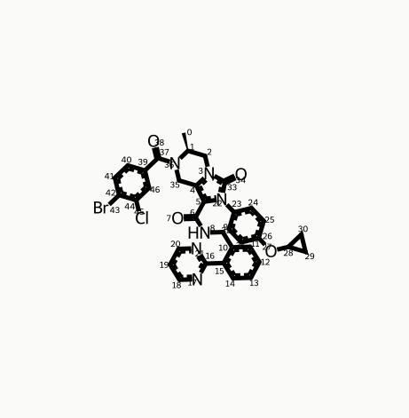 C[C@H]1Cn2c(c(C(=O)NCc3ccccc3-c3ncccn3)n(-c3ccc(OC4CC4)cc3)c2=O)CN1C(=O)c1ccc(Br)c(Cl)c1